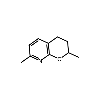 Cc1ccc2c(n1)OC(C)CC2